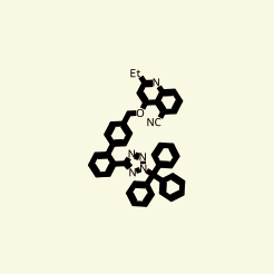 CCc1cc(OCc2ccc(-c3ccccc3-c3nnn(C(c4ccccc4)(c4ccccc4)c4ccccc4)n3)cc2)c2c(C#N)cccc2n1